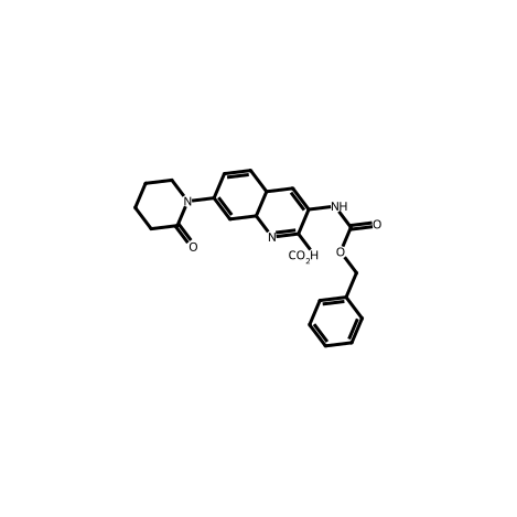 O=C(NC1=CC2C=CC(N3CCCCC3=O)=CC2N=C1C(=O)O)OCc1ccccc1